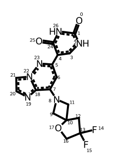 O=c1[nH]cc(-c2cc(N3CC4(C3)CC(F)(F)CO4)c3nccn3n2)c(=O)[nH]1